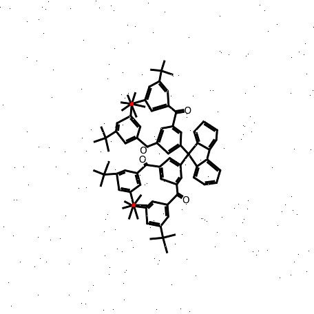 CC(C)(C)c1cc(C(=O)c2cc(C(=O)c3cc(C(C)(C)C)cc(C(C)(C)C)c3)cc(C3(c4cc(C(=O)c5cc(C(C)(C)C)cc(C(C)(C)C)c5)cc(C(=O)c5cc(C(C)(C)C)cc(C(C)(C)C)c5)c4)c4ccccc4-c4ccccc43)c2)cc(C(C)(C)C)c1